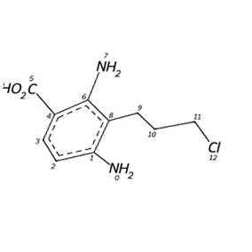 Nc1ccc(C(=O)O)c(N)c1CCCCl